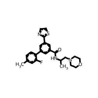 Cc1ccc(-c2cc(C(=O)NC(C)CN3CCOCC3)cc(-c3nccs3)c2)c(F)c1